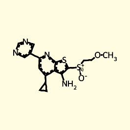 COCC[S@@+]([O-])c1sc2nc(-c3cncnc3)cc(C3CC3)c2c1N